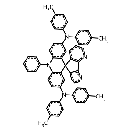 Cc1ccc(N(c2ccc(C)cc2)c2ccc3c(c2)C2(c4cc(N(c5ccc(C)cc5)c5ccc(C)cc5)ccc4N3c3ccccc3)c3cccnc3-c3ncccc32)cc1